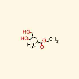 CCOC(=O)C(C)CC(CO)CO